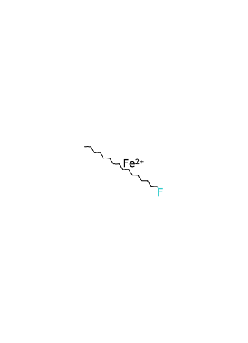 CCCCCCCCCCCCCCCCF.[Fe+2]